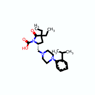 CCC1(CC)C[C@H](CN2CCN(c3ccccc3C(C)C)CC2)N(C(=O)O)C1=O